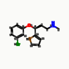 CNCC[C@H](Oc1cccc(Br)c1)c1cccs1